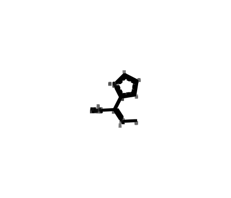 C/N=C(/SC)c1cccs1